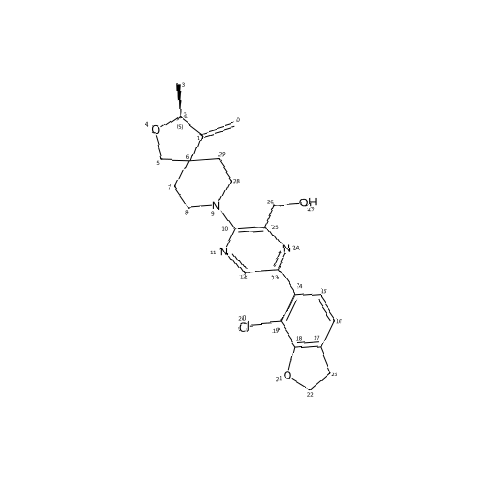 C=C1[C@H](C)OCC12CCN(c1ncc(-c3ccc4c(c3Cl)OCC4)nc1CO)CC2